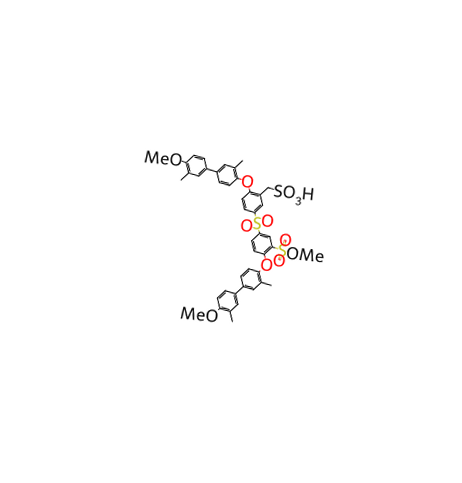 COc1ccc(-c2ccc(Oc3ccc(S(=O)(=O)c4ccc(Oc5ccc(-c6ccc(OC)c(C)c6)cc5C)c(S(=O)(=O)OC)c4)cc3CS(=O)(=O)O)c(C)c2)cc1C